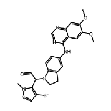 COc1cc2ncnc(Nc3ccc4c(c3)CCN4C(C=O)c3c(Br)cnn3C)c2cc1OC